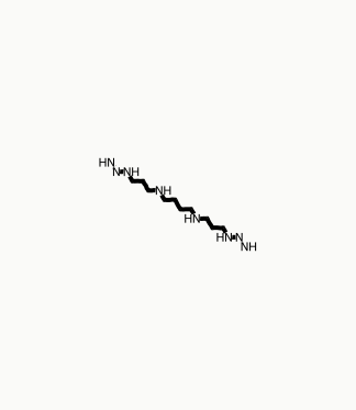 N=NNCCCNCCCCNCCCNN=N